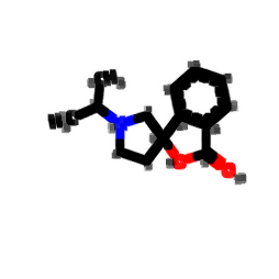 CC(C)N1CCC2(C1)OC(=O)c1ccccc12